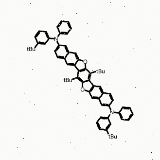 CC(C)(C)c1cccc(N(c2ccccc2)c2ccc3cc4c(cc3c2)oc2c(C(C)(C)C)c3c(oc5cc6cc(N(c7ccccc7)c7cccc(C(C)(C)C)c7)ccc6cc53)c(C(C)(C)C)c24)c1